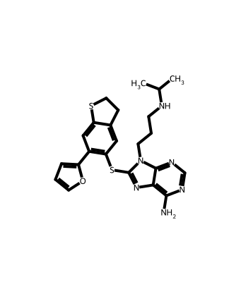 CC(C)NCCCn1c(Sc2cc3c(cc2-c2ccco2)SCC3)nc2c(N)ncnc21